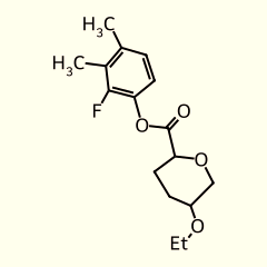 CCOC1CCC(C(=O)Oc2ccc(C)c(C)c2F)OC1